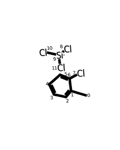 Cc1ccccc1Cl.Cl[Si](Cl)Cl